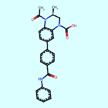 CC(=O)N1c2ccc(-c3ccc(C(=O)Nc4ccccc4)cc3)cc2N(C(=O)O)C[C@@H]1C